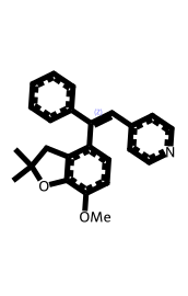 COc1ccc(/C(=C\c2ccncc2)c2ccccc2)c2c1OC(C)(C)C2